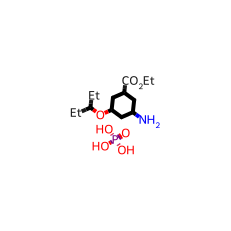 CCOC(=O)C1CC(N)CC(OC(CC)CC)C1.O=P(O)(O)O